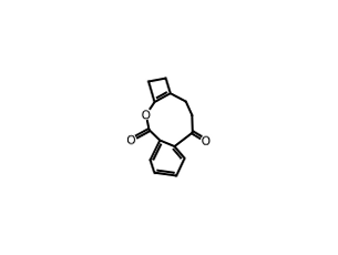 O=C1CCC2=C(CC2)OC(=O)c2ccccc21